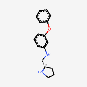 c1ccc(Oc2cccc(NC[C@@H]3CCCN3)c2)cc1